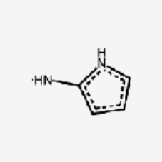 [NH]c1ccc[nH]1